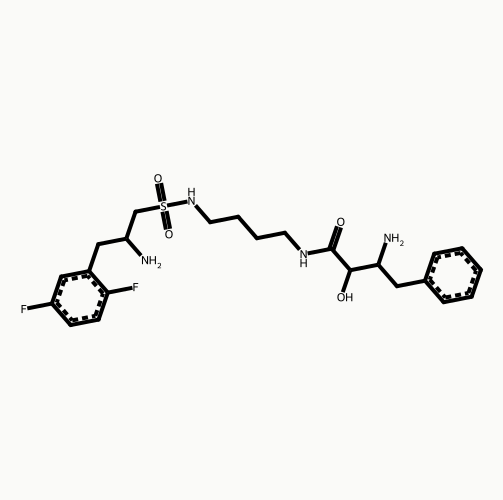 NC(Cc1cc(F)ccc1F)CS(=O)(=O)NCCCCNC(=O)C(O)C(N)Cc1ccccc1